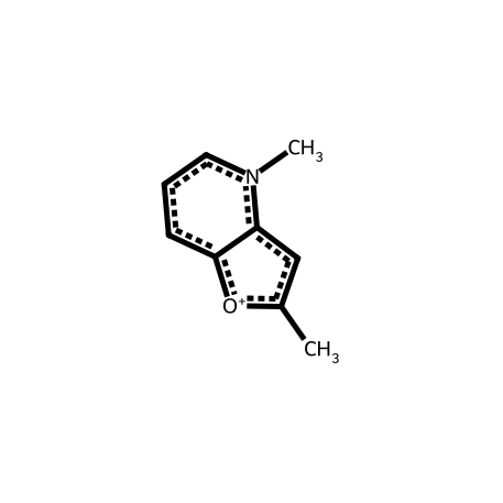 Cc1cc2n(C)cccc-2[o+]1